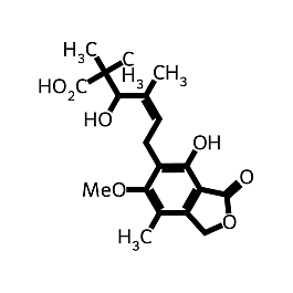 COc1c(C)c2c(c(O)c1CC=C(C)C(O)C(C)(C)C(=O)O)C(=O)OC2